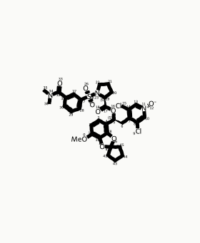 COc1ccc([C@H](Cc2c(Cl)c[n+]([O-])cc2Cl)OC(=O)[C@@H]2CCCN2S(=O)(=O)c2cccc(C(=O)N(C)C)c2)c2c1OC1(CCCC1)O2